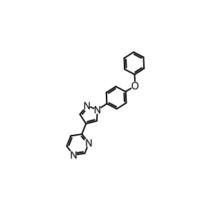 c1ccc(Oc2ccc(-n3cc(-c4ccncn4)cn3)cc2)cc1